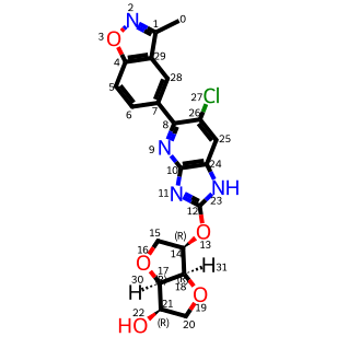 Cc1noc2ccc(-c3nc4nc(O[C@@H]5CO[C@H]6[C@@H]5OC[C@H]6O)[nH]c4cc3Cl)cc12